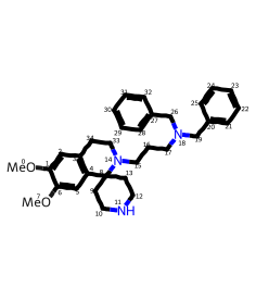 COc1cc2c(cc1OC)C1(CCNCC1)N(CCCN(Cc1ccccc1)Cc1ccccc1)CC2